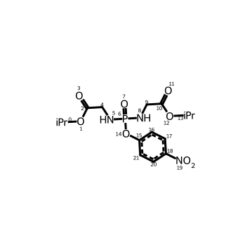 CC(C)OC(=O)CNP(=O)(NCC(=O)OC(C)C)Oc1ccc([N+](=O)[O-])cc1